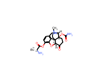 CC[C@H](C)[C@H](N)C(=O)Oc1ccc2c3c1O[C@H]1C(=O)CC[C@@]4(OC(N)=O)[C@@H](C2)N(C)CC[C@]314